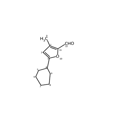 Cc1cc(C2CCCCC2)oc1C=O